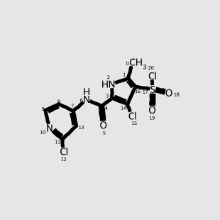 Cc1[nH]c(C(=O)Nc2ccnc(Cl)c2)c(Cl)c1S(=O)(=O)Cl